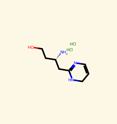 Cl.Cl.N[C@@H](CCO)CC1=NC=CCN1